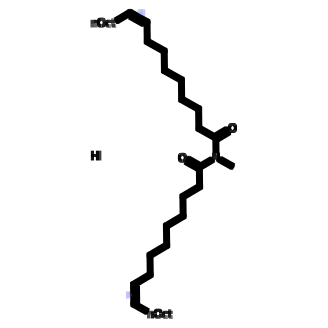 CCCCCCCC/C=C\CCCCCCCC(=O)N(C)C(=O)CCCCCCC/C=C\CCCCCCCC.I